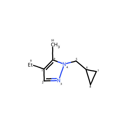 CCc1[c]nn(CC2CC2)c1C